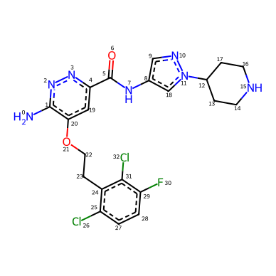 Nc1nnc(C(=O)Nc2cnn(C3CCNCC3)c2)cc1OCCc1c(Cl)ccc(F)c1Cl